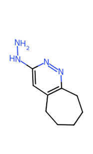 NNc1cc2c(nn1)CCCCC2